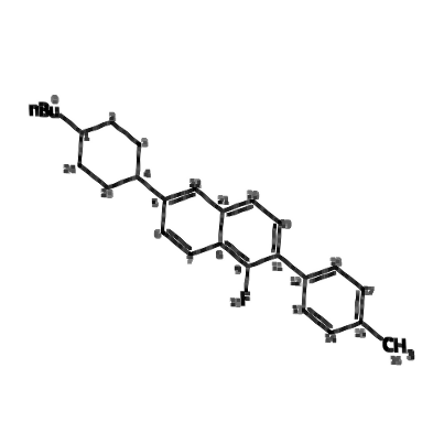 CCCCC1CCC(c2ccc3c(F)c(-c4ccc(C)cc4)ccc3c2)CC1